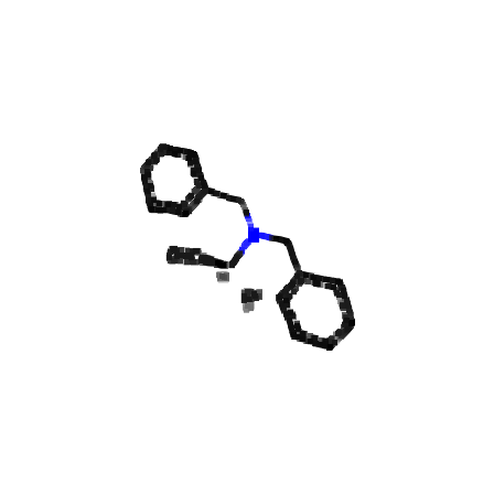 CC[C@H](C)[C@@H](C=O)N(Cc1ccccc1)Cc1ccccc1